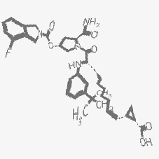 CC(C)(C)c1cccc(N[C@@H](CCCCC/C=C\[C@@H]2C[C@@H]2C(=O)O)C(=O)N2C[C@H](OC(=O)N3Cc4cccc(F)c4C3)C[C@H]2C(N)=O)c1